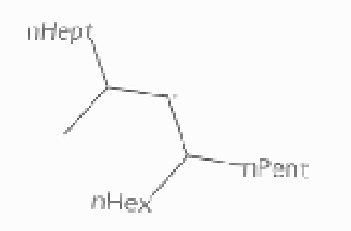 CCCCCCCC(C)[CH]C(CCCCC)CCCCCC